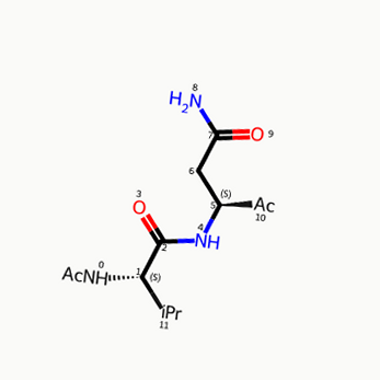 CC(=O)N[C@H](C(=O)N[C@@H](CC(N)=O)C(C)=O)C(C)C